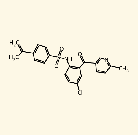 C=C(C)c1ccc(S(=O)(=O)Nc2ccc(Cl)cc2C(=O)c2ccc(C)nc2)cc1